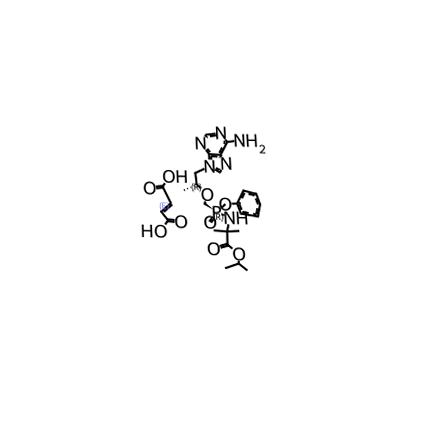 CC(C)OC(=O)C(C)(C)N[P@@](=O)(CO[C@H](C)Cn1cnc2c(N)ncnc21)Oc1ccccc1.O=C(O)/C=C/C(=O)O